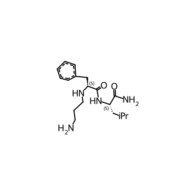 CC(C)C[C@H](NC(=O)[C@H](Cc1ccccc1)NCCCN)C(N)=O